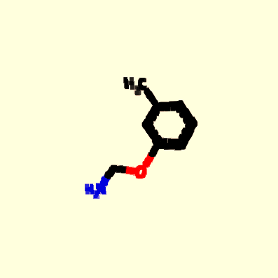 Cc1cccc(OCN)c1